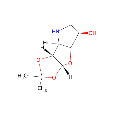 CC1(C)O[C@H]2OC3[C@H](O)CN[C@@H]3[C@H]2O1